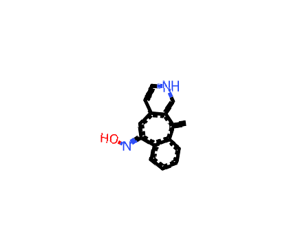 C=c1c2c(cc(=NO)c3ccccc13)C=CNC=2